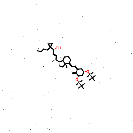 C=C1/C(=C\C=C2/CCC[C@]3(C)[C@@H]([C@H](C)/C=C/[C@@H](O)C4(CCCC)CC4)CC[C@@H]23)C[C@@H](O[Si](C)(C)C(C)(C)C)C[C@@H]1O[Si](C)(C)C(C)(C)C